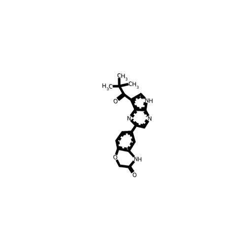 CC(C)(C)C(=O)c1c[nH]c2ncc(-c3ccc4c(c3)NC(=O)CO4)nc12